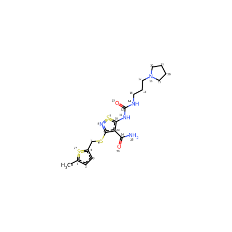 Cc1ccc(CSc2nsc(NC(=O)NCCCN3CCCC3)c2C(N)=O)s1